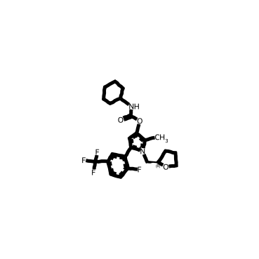 Cc1c(OC(=O)NC2CCCCC2)cc(-c2cc(C(F)(F)F)ccc2F)n1C[C@H]1CCCO1